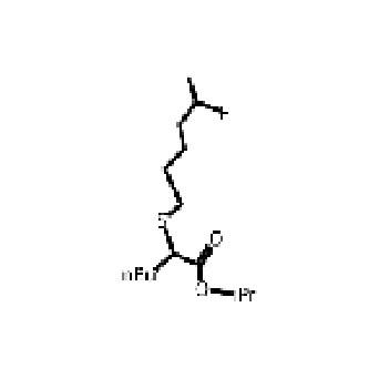 CCCCC(SCCCCC(C)F)C(=O)OC(C)C